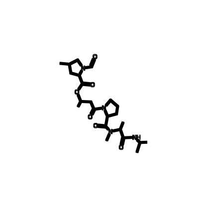 CC1CC(C(=O)OC(C)CC(=O)N2CCCC2C(=O)N(C)C(C)C(=O)NC(C)C)N(C=O)C1